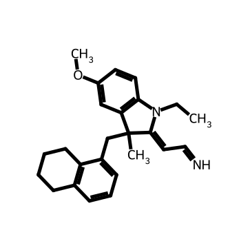 CCN1/C(=C\C=N)C(C)(Cc2cccc3c2CCCC3)c2cc(OC)ccc21